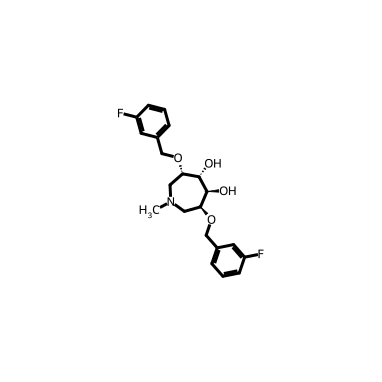 CN1C[C@H](OCc2cccc(F)c2)[C@H](O)[C@@H](O)[C@@H](OCc2cccc(F)c2)C1